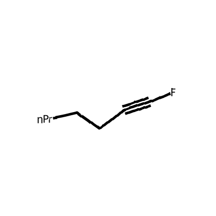 [CH2]CCCCC#CF